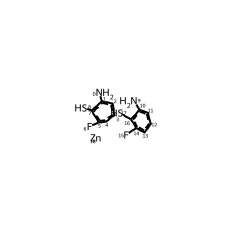 Nc1cccc(F)c1S.Nc1cccc(F)c1S.[Zn]